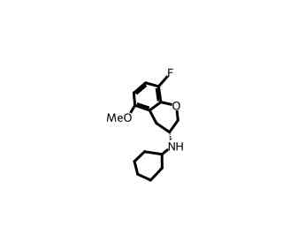 COc1ccc(F)c2c1C[C@@H](NC1CCCCC1)CO2